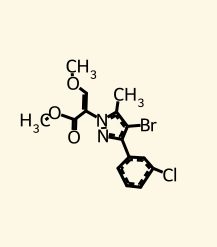 COC=C(C(=O)OC)n1nc(-c2cccc(Cl)c2)c(Br)c1C